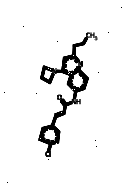 CCCc1cc(N2CCC2)c2cc(NC(=O)C=Cc3ccc(Cl)cc3)ccc2n1